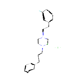 Cl.Cl.Fc1cccc(CCN2CCN(CCCc3ccccc3)CC2)c1